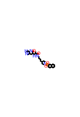 CC(CC(Cc1cccnc1)C(N)=O)C(=O)NCCCCC1CCN(S(=O)(=O)c2ccc3ccccc3c2)CC1